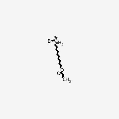 CC=CC(=O)OCCCCCCCCCCC[SiH2]C(Br)Br